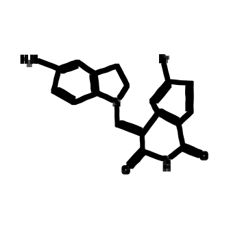 Nc1ccc2c(c1)CCN2/C=C1/C(=O)NC(=O)c2ccc(Br)cc21